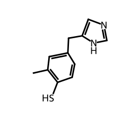 Cc1cc(Cc2cnc[nH]2)ccc1S